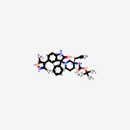 C#CC[C@@]1(NC(=O)OC(C)(C)C)CCCN(C2(c3ccccc3)C(=O)Nc3ccc(-c4c(C)noc4C)cc32)C1